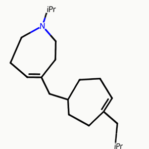 CC(C)CC1=CCCC(CC2=CCCN(C(C)C)CC2)CC1